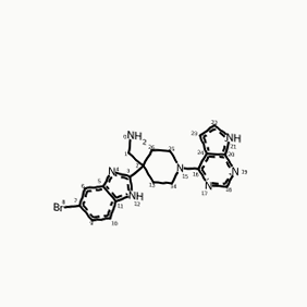 NCC1(c2nc3cc(Br)ccc3[nH]2)CCN(c2ncnc3[nH]ccc23)CC1